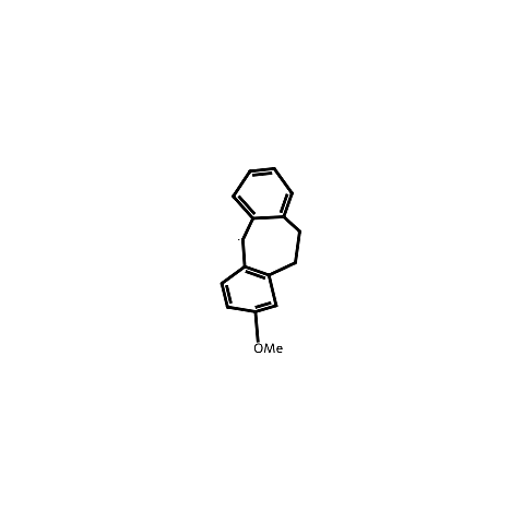 COc1ccc2c(c1)CCc1ccccc1[CH]2